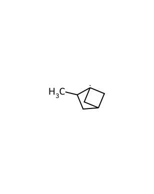 CC1CC2C[C]1C2